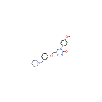 COc1ccc(N(CCCOc2cccc(CN3CCCCC3)c2)C(N)=O)cc1